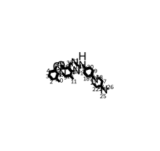 Cc1cccc(Cl)c1-n1cc(C)c2nc(Nc3ccc(N4CCC(N(C)C)CC4)cc3)ncc2c1=O